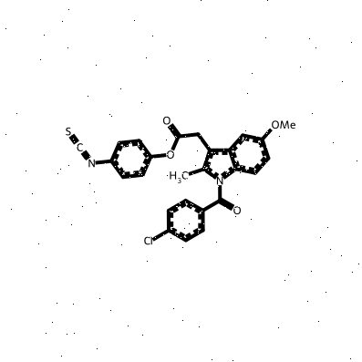 COc1ccc2c(c1)c(CC(=O)Oc1ccc(N=C=S)cc1)c(C)n2C(=O)c1ccc(Cl)cc1